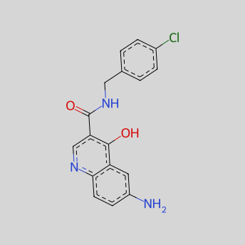 Nc1ccc2ncc(C(=O)NCc3ccc(Cl)cc3)c(O)c2c1